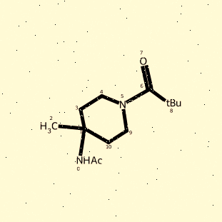 CC(=O)NC1(C)CCN(C(=O)C(C)(C)C)CC1